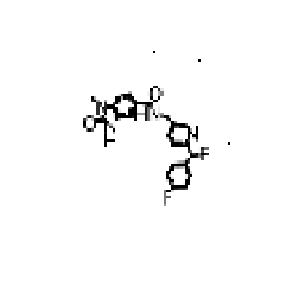 Cn1c(=O)[nH]c2cc(C(=O)NCc3ccc(C(F)c4ccc(F)cc4)nc3)ccc21